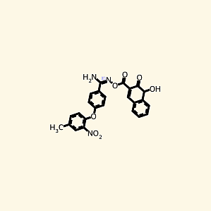 Cc1ccc(Oc2ccc(/C(N)=N\OC(=O)C3=Cc4ccccc4C(O)C3=O)cc2)c([N+](=O)[O-])c1